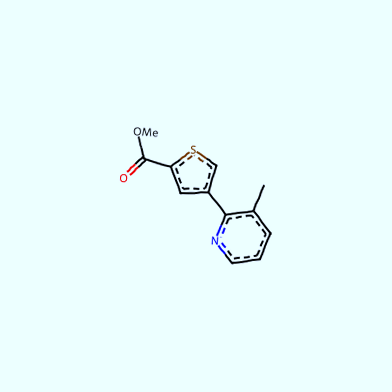 COC(=O)c1cc(-c2ncccc2C)cs1